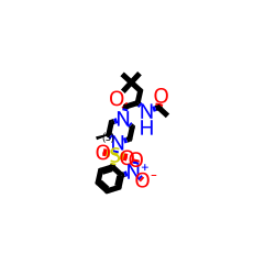 CC(=O)NC(CC(C)(C)C)C(=O)N1CCN(S(=O)(=O)c2ccccc2[N+](=O)[O-])[C@@H](C)C1